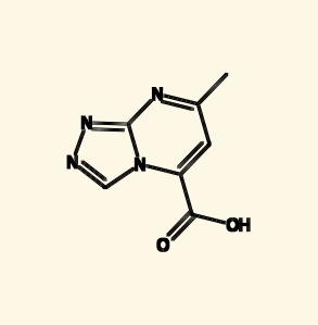 Cc1cc(C(=O)O)n2cnnc2n1